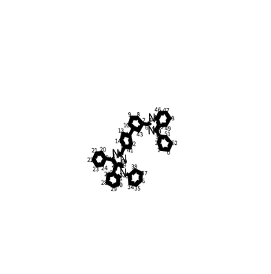 c1ccc(-c2nc(-c3cccc(-c4ccc(-c5nc(-c6ccccc6)c6c7ccccc7n(-c7ccccc7)c6n5)cc4)c3)nc3ccccc23)cc1